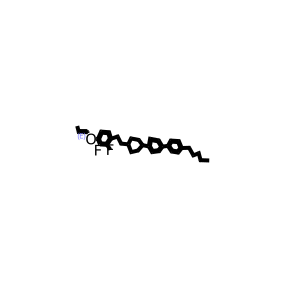 C/C=C/Oc1ccc(CCC2CCC(c3ccc(-c4ccc(CCCCC)cc4)cc3)CC2)c(F)c1F